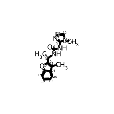 Cc1c([C@H](C)NC(=O)Nc2nncn2C)oc2ccccc12